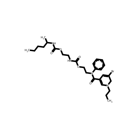 CCCCC(C)NC(=O)OCCNC(=O)OCCN(C(=O)C1=CN(CCC)CC(Br)=C1)c1ccccc1